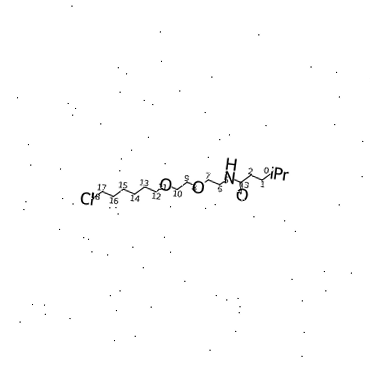 CC(C)CCC(=O)NCCOCCOCCCCCCCl